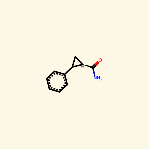 NC(=O)[C@@H]1CC1c1ccccc1